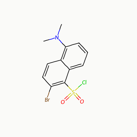 CN(C)c1cccc2c(S(=O)(=O)Cl)c(Br)ccc12